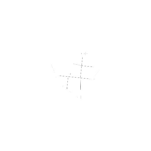 COC(C)(C(C)(C)O)[C@](C)(OC)[C@@H](C)O